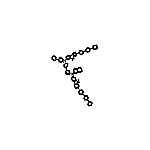 CC1(C)c2cc(-c3ccc(-c4ccc(-c5ccccc5)cc4)cc3)ccc2-c2ccc(N(c3ccc(-c4ccccc4)cc3)c3ccc(-c4cccc(N(c5ccc6c(c5)C(C)(C)c5cc(-c7ccc(-c8ccc(-c9ccccc9)cc8)cc7)ccc5-6)c5ccc6ccccc6c5)c4)cc3)cc21